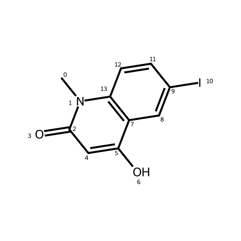 Cn1c(=O)cc(O)c2cc(I)ccc21